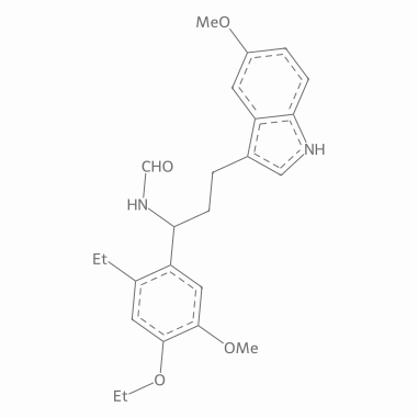 CCOc1cc(CC)c(C(CCc2c[nH]c3ccc(OC)cc23)NC=O)cc1OC